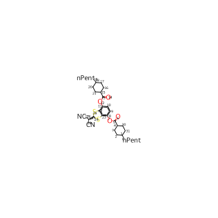 CCCCCC1CCC(C(=O)Oc2ccc(OC(=O)C3CCC(CCCCC)CC3)c3c2SC(=C(C#N)C#N)S3)CC1